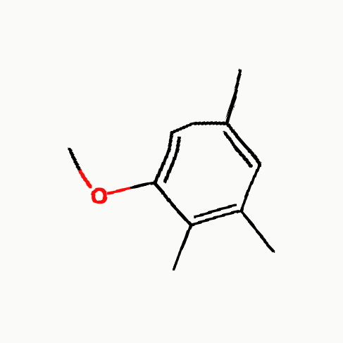 COc1cc(C)cc(C)c1C